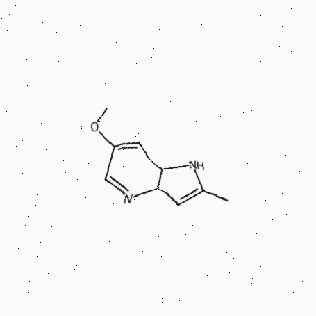 COC1=CC2NC(C)=CC2N=C1